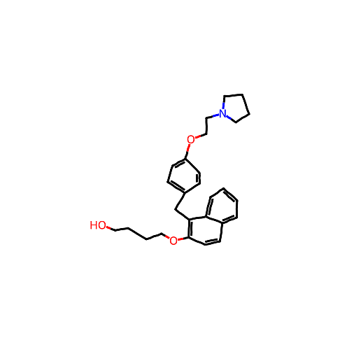 OCCCCOc1ccc2ccccc2c1Cc1ccc(OCCN2CCCC2)cc1